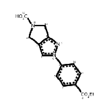 CCOC(=O)c1ccc(-n2cc3c(n2)CN(C(=O)O)C3)cc1